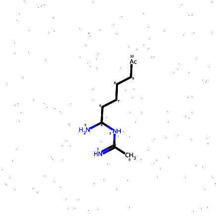 CC(=N)NC(N)CCCCC(C)=O